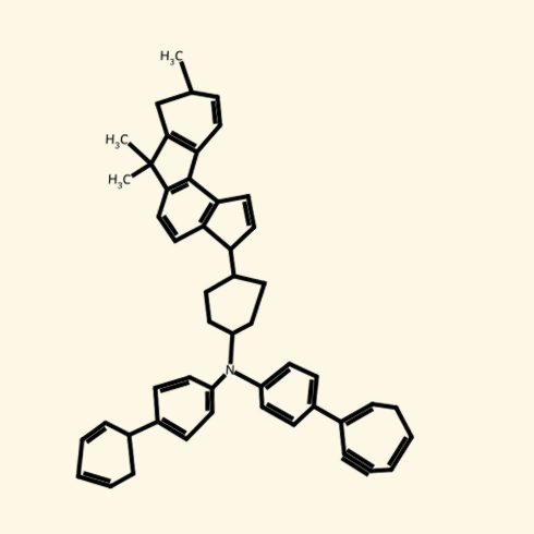 CC1C=CC2=C(C1)C(C)(C)c1ccc3c(c12)C=CC3C1CCC(N(c2ccc(C3=CCC=CC#C3)cc2)c2ccc(C3C=CC=CC3)cc2)CC1